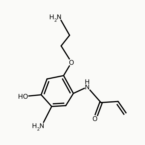 C=CC(=O)Nc1cc(N)c(O)cc1OCCN